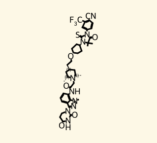 C[C@@H]1C[C@@H](CCOC2CCC(N3C(=S)N(c4ccc(C#N)c(C(F)(F)F)c4)C(=O)C3(C)C)CC2)C[C@H](C)N1CC(=O)Nc1cccc2c(N3CCC(=O)NC3=O)nn(C)c12